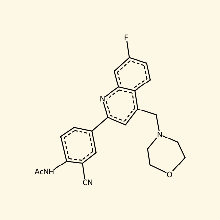 CC(=O)Nc1ccc(-c2cc(CN3CCOCC3)c3ccc(F)cc3n2)cc1C#N